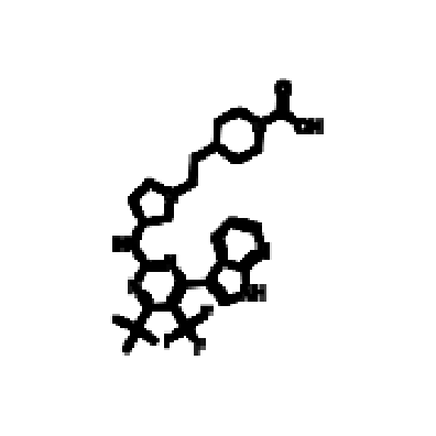 CC(C)(C)c1nc(NC2CCN(CCC3CCN(C(=O)O)CC3)C2)nc(-c2c[nH]c3ncccc23)c1C(F)(F)F